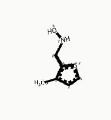 Cc1ccsc1CNO